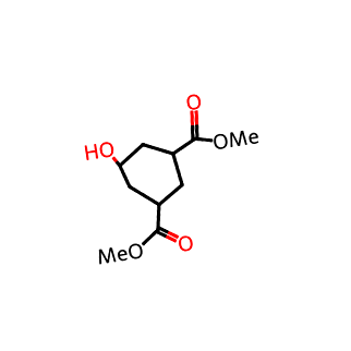 COC(=O)C1CC(O)CC(C(=O)OC)C1